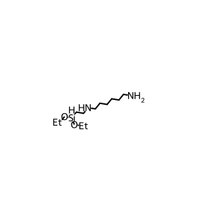 CCO[SiH](CCNCCCCCCN)OCC